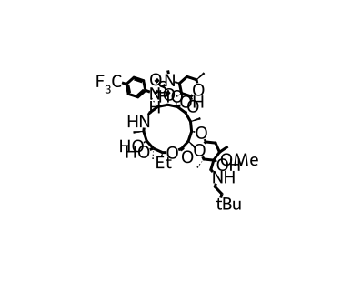 CC[C@H]1OC(=O)[C@H](C)[C@@H](O[C@H]2C[C@@](C)(OC)[C@](O)(CNCCC(C)(C)C)[C@H](C)O2)[C@H](C)[C@@H](O[C@@H]2O[C@H](C)C[C@H](N(C)S(=O)(=O)Nc3ccc(C(F)(F)F)cc3)[C@H]2O)[C@](C)(O)C[C@@H](C)CN[C@H](C)[C@@H](O)[C@]1(C)O